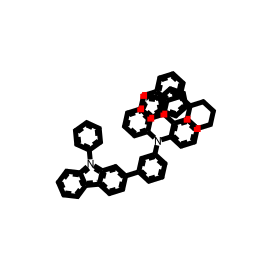 c1ccc(-n2c3ccccc3c3ccc(-c4cccc(N(c5ccccc5-c5cccc6cccc(C7CCCCC7)c56)c5cccc6sc7ccccc7c56)c4)cc32)cc1